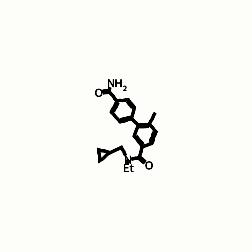 CCN(CC1CC1)C(=O)c1ccc(C)c(-c2ccc(C(N)=O)cc2)c1